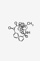 CC(C)CC(NS(=O)(=O)c1ccccc1)C(=O)NC(C)(C)C(=O)c1c(-c2ccccc2)c1=O